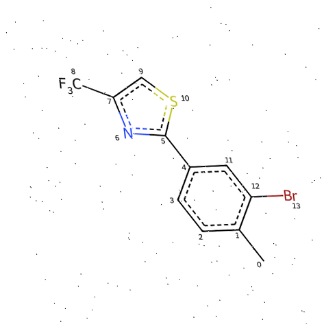 Cc1ccc(-c2nc(C(F)(F)F)cs2)cc1Br